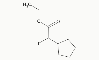 CCOC(=O)C(I)C1CCCC1